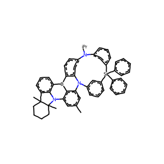 Cc1cc2c3c(c1)N1c4c(cccc4C4(C)CCCCC14C)B3c1ccc3cc1N2c1cccc(c1)[Si](c1ccccc1)(c1ccccc1)c1cccc(c1)N3C(C)C